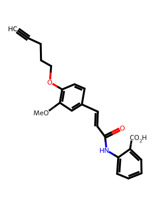 C#CCCCOc1ccc(C=CC(=O)Nc2ccccc2C(=O)O)cc1OC